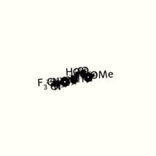 COc1ccnc(S(C)(=O)=NC(=O)c2ccn(-c3ccc(-c4noc(C(F)(F)F)n4)cc3)c2)c1